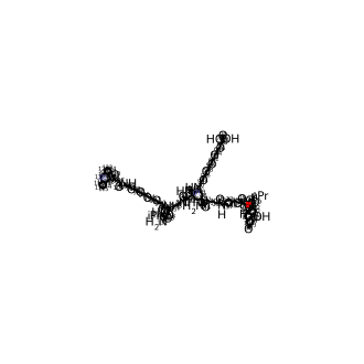 CCCC1O[C@@H]2CC3[C@@H]4CCC5=CC(=O)C=C[C@]5(C)C4[C@@H](O)C[C@]3(C)[C@]2(C(=O)CNC(=O)OCc2ccc(NC(=O)CCCCN(C(N)=O)C3CC/C(NCCOCCOCCOCCOCCOCCP(=O)(O)O)=C(/N=N)C(OCC(=O)NCCCC[C@@H](NC(=O)CCOCCOCCOCCOCCNC(=O)CCC(=O)N4Cc5ccccc5/C=C\c5ccccc54)C(=O)N[C@H](C(N)=O)C(C)C)CC3)cc2)O1